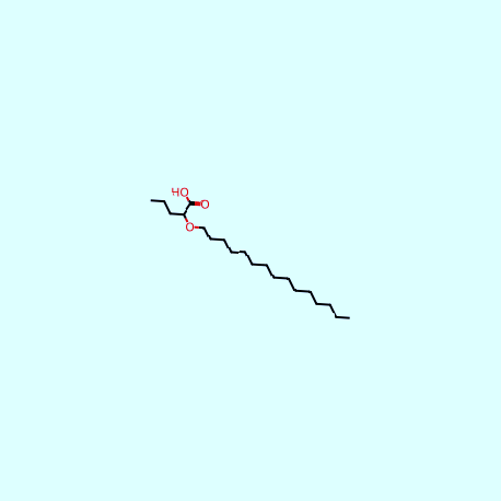 CCCCCCCCCCCCCCCOC(CCC)C(=O)O